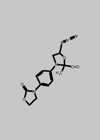 CC1(C=O)OC(N=[N+]=[N-])CN1c1ccc(N2CCOC2=O)cc1